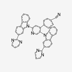 N#Cc1ccc(-c2cc(-n3c4ccccc4c4ccc(-c5ncccn5)cc43)ncc2-n2c3ccccc3c3ccc(-c4ncccn4)cc32)cc1